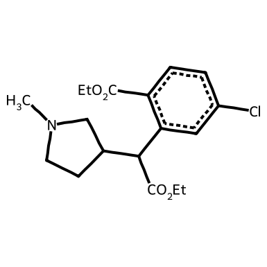 CCOC(=O)c1ccc(Cl)cc1C(C(=O)OCC)C1CCN(C)C1